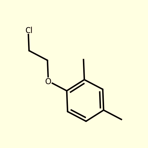 Cc1ccc(OCCCl)c(C)c1